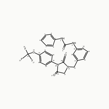 O=C(Nc1ccccc1)Nc1cc(CN2CC(=O)N(c3ccc(OC(F)(F)F)cc3)C2=O)ccn1